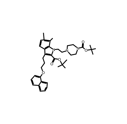 Cc1ccc2c(CCCOc3cccc4ccccc34)c(C(=O)OC(C)(C)C)n(CCN3CCN(C(=O)OC(C)(C)C)CC3)c2c1C